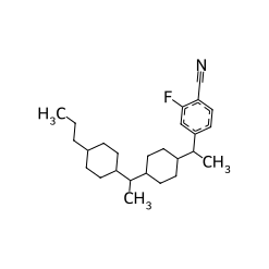 CCCC1CCC(C(C)C2CCC(C(C)c3ccc(C#N)c(F)c3)CC2)CC1